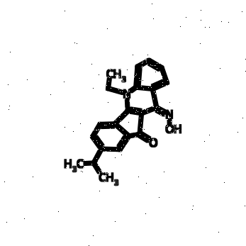 CCn1c2c(c(=NO)c3ccccc31)C(=O)c1cc(C(C)C)ccc1-2